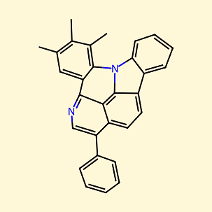 Cc1cc2c3ncc(-c4ccccc4)c4ccc5c6ccccc6n(c2c(C)c1C)c5c43